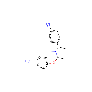 CC(Oc1ccc(N)cc1)N(C)C(C)c1ccc(N)cc1